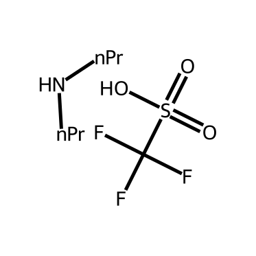 CCCNCCC.O=S(=O)(O)C(F)(F)F